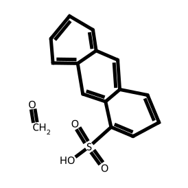 C=O.O=S(=O)(O)c1cccc2cc3ccccc3cc12